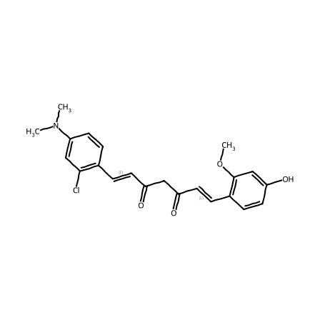 COc1cc(O)ccc1/C=C/C(=O)CC(=O)/C=C/c1ccc(N(C)C)cc1Cl